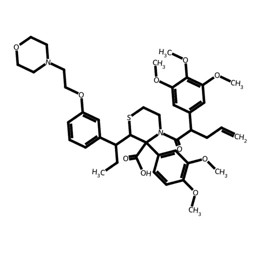 C=CCC(C(=O)N1CCSC(C(CC)c2cccc(OCCN3CCOCC3)c2)C1(C(=O)O)c1ccc(OC)c(OC)c1)c1cc(OC)c(OC)c(OC)c1